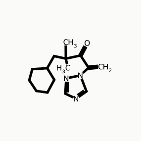 C=C(C(=O)C(C)(C)CC1CCCCC1)n1cncn1